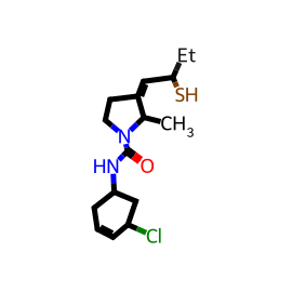 CCC(S)/C=C1/CCN(C(=O)NC2CC=CC(Cl)C2)C1C